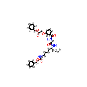 O=C(CNC(=O)c1cccc(OCC(=O)OCc2ccccc2)c1)N[C@@H](CCCCNC(=O)OCc1ccccc1)C(=O)O